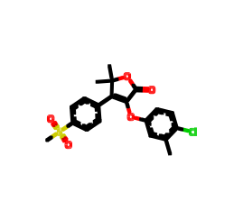 Cc1cc(OC2=C(c3ccc(S(C)(=O)=O)cc3)C(C)(C)OC2=O)ccc1Cl